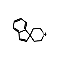 C1=CC2(CC[N]CC2)c2ccccc21